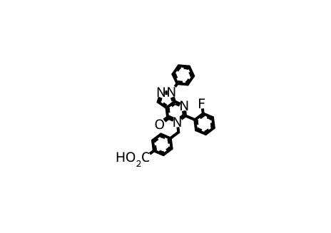 O=C(O)c1ccc(Cn2c(-c3ccccc3F)nc3c(cnn3-c3ccccc3)c2=O)cc1